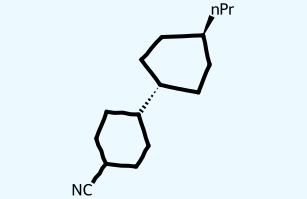 CCC[C@H]1CC[C@H](C2CCC(C#N)CC2)CC1